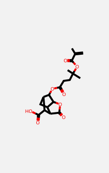 C=C(C)C(=O)OC(C)(C)CCC(=O)OC1C2CC3C1OC(=O)C3C2C(=O)O